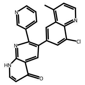 Cc1ccnc2c(Cl)cc(-c3cc4c(=O)cc[nH]c4nc3-c3cccnc3)cc12